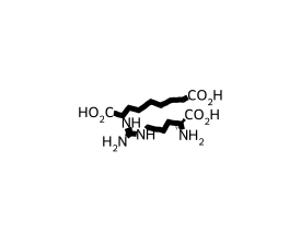 N=C(N)NCCC[C@H](N)C(=O)O.O=C(O)CCCCCCCC(=O)O